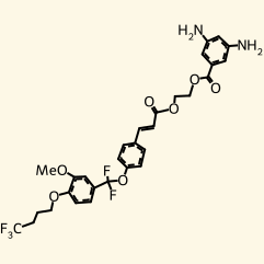 COc1cc(C(F)(F)Oc2ccc(/C=C/C(=O)OCCOC(=O)c3cc(N)cc(N)c3)cc2)ccc1OCCCC(F)(F)F